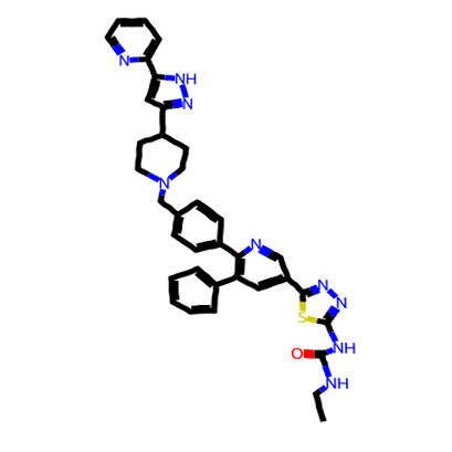 CCNC(=O)Nc1nnc(-c2cnc(-c3ccc(CN4CCC(c5cc(-c6ccccn6)[nH]n5)CC4)cc3)c(-c3ccccc3)c2)s1